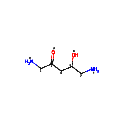 NCC(=O)CC(O)CN